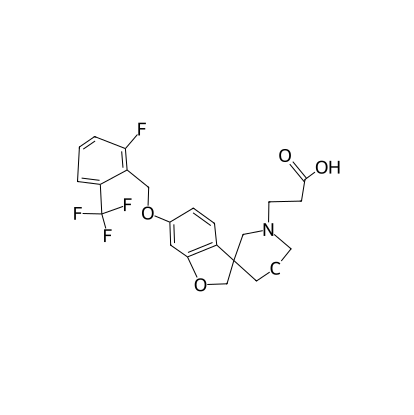 O=C(O)CCN1CCCC2(COc3cc(OCc4c(F)cccc4C(F)(F)F)ccc32)C1